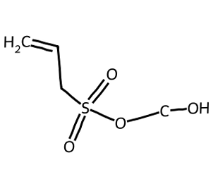 C=CCS(=O)(=O)OCO